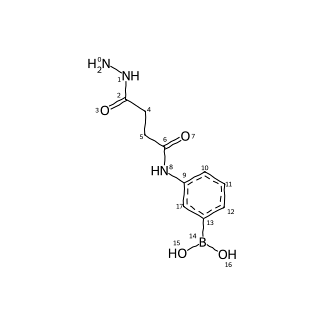 NNC(=O)CCC(=O)Nc1cccc(B(O)O)c1